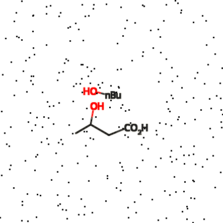 CC(O)CC(=O)O.CCCCO